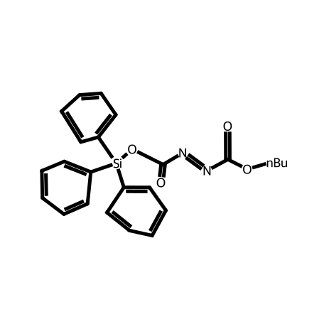 CCCCOC(=O)/N=N/C(=O)O[Si](c1ccccc1)(c1ccccc1)c1ccccc1